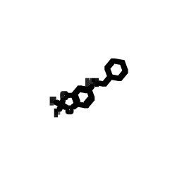 FC1(F)Oc2ccc(NCC3CCCCC3)cc2O1